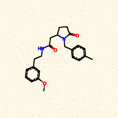 COc1cccc(CCNC(=O)CC2CCC(=O)N2Cc2ccc(C)cc2)c1